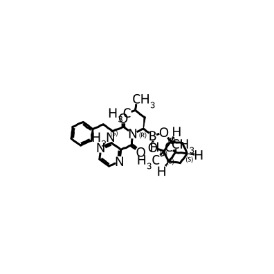 CC(C)C[C@@H](B1O[C@@H]2C[C@@H]3C[C@@H](C3(C)C)[C@]2(C)O1)N(C(=O)c1cnccn1)C(=O)[C@@H](N)Cc1ccccc1